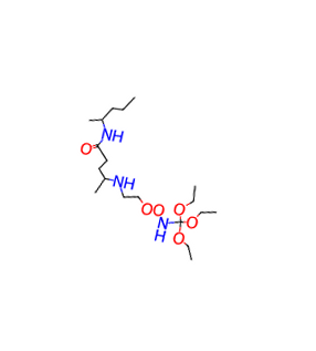 CCCC(C)NC(=O)CCC(C)NCCOONC(OCC)(OCC)OCC